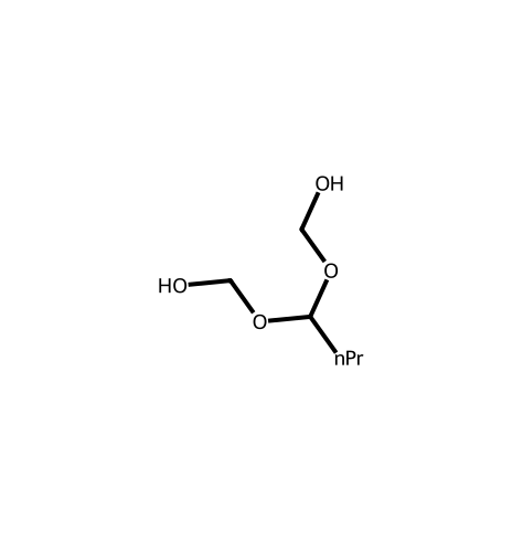 CCCC(OCO)OCO